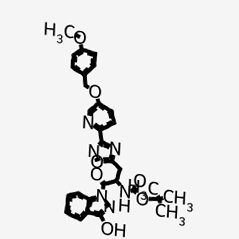 COc1ccc(COc2ccc(-c3noc(CC(NC(=O)OC(C)(C)C)C(=O)n4nc(O)c5ccccc54)n3)nc2)cc1